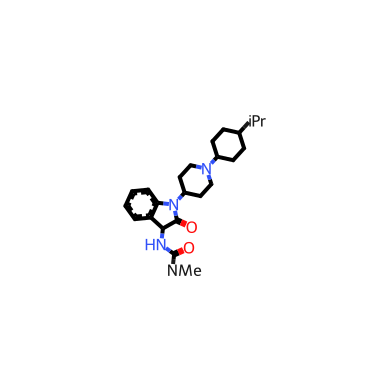 CNC(=O)NC1C(=O)N(C2CCN(C3CCC(C(C)C)CC3)CC2)c2ccccc21